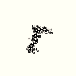 COc1cc(C2=CN(C)C(=C=O)C(C(=O)Nc3cccc(Sc4ncc(N5CCC6(CC5)CO[C@@H](C)[C@H]6N)nc4N)c3Cl)=C2O)ccc1O